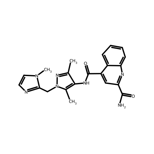 Cc1nn(Cc2nccn2C)c(C)c1NC(=O)c1cc(C(N)=O)nc2ccccc12